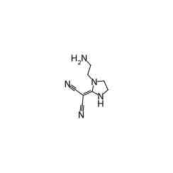 N#CC(C#N)=C1NCCN1CCN